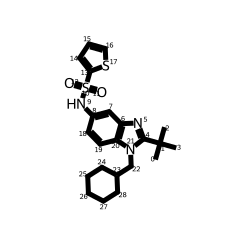 CC(C)(C)c1nc2cc(NS(=O)(=O)c3cccs3)ccc2n1CC1CCCCC1